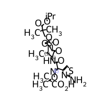 CC(C)OC(=O)C(C)(C)COS(=O)(=O)N1C(=O)[C@@H](NC(=O)/C(=N/OC(C)(C)C(=O)O)c2csc(N)n2)[C@@H]1C